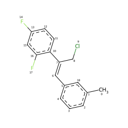 Cc1cccc(C=C(CCl)c2ccc(F)cc2F)c1